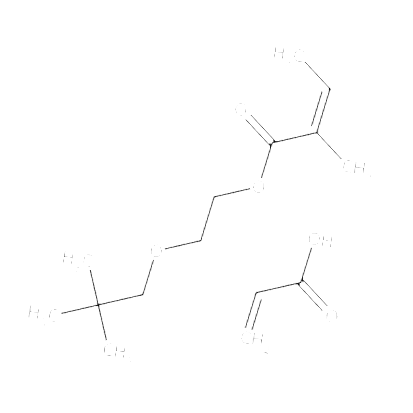 C=CC(=O)O.CC=C(C)C(=O)OCCOCC(C)(C)C